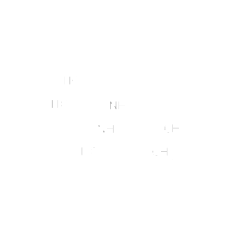 C#CCNCCCC.C#CCNCCCC.Cl